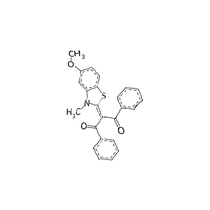 COc1ccc2c(c1)N(C)C(=C(C(=O)c1ccccc1)C(=O)c1ccccc1)S2